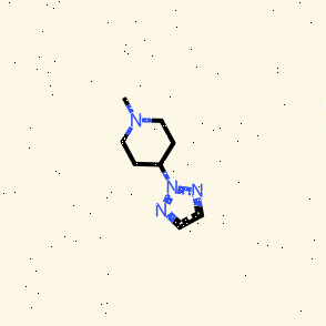 CN1CCC(n2nccn2)CC1